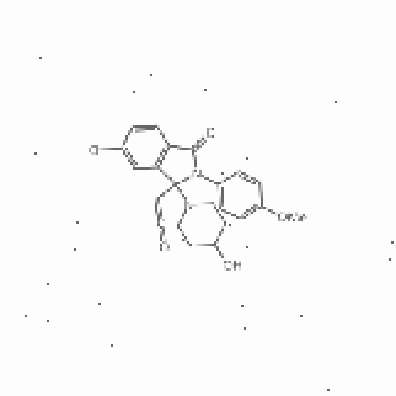 COc1ccc(N2C(=O)c3ccc(Cl)cc3C2(C=C=O)N2CCC(O)CC2)cc1